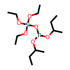 CCO[Si](OCC)(OCC)[O][Ti]([O]C(C)CC)[O]C(C)CC